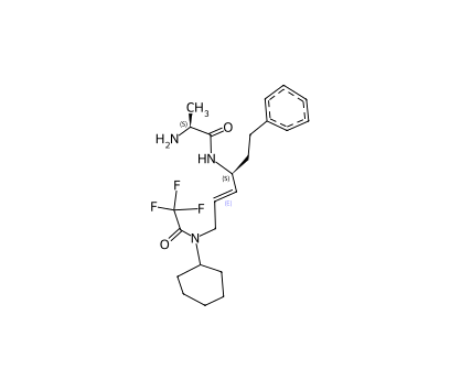 C[C@H](N)C(=O)N[C@H](/C=C/CN(C(=O)C(F)(F)F)C1CCCCC1)CCc1ccccc1